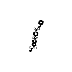 C=CC(=O)NC1CC2CN(S(=O)(=O)C3CCN(C(=O)NCCc4ccccc4)CC3)CC2C1